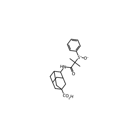 CC(C)(C(=O)NC1C2CC3CC1CC(C(=O)O)(C3)C2)[S+]([O-])c1ccccc1